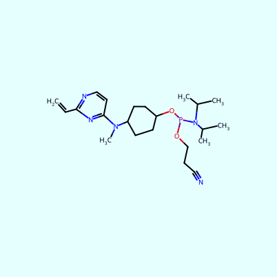 C=Cc1nccc(N(C)C2CCC(OP(OCCC#N)N(C(C)C)C(C)C)CC2)n1